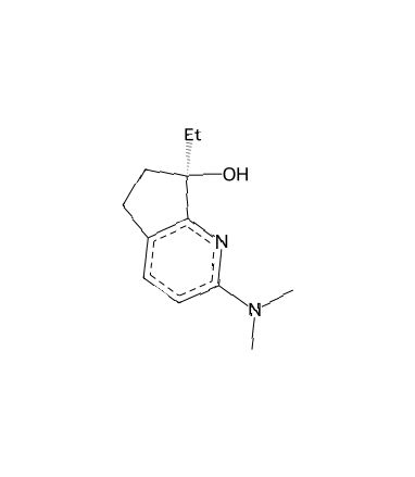 CC[C@@]1(O)CCc2ccc(N(C)C)nc21